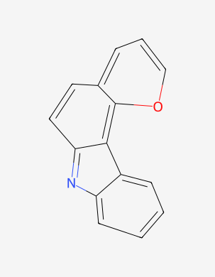 c1coc2c(c1)ccc1nc3ccccc3c12